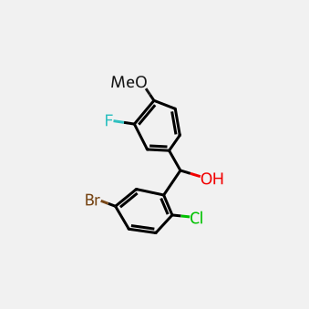 COc1ccc(C(O)c2cc(Br)ccc2Cl)cc1F